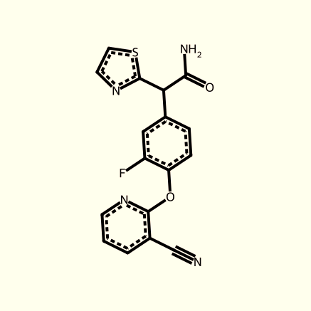 N#Cc1cccnc1Oc1ccc(C(C(N)=O)c2nccs2)cc1F